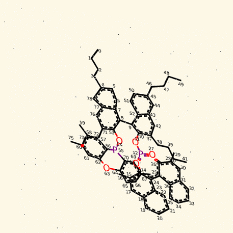 CCCCc1ccc2c(-c3c(Op4oc5c(C)cc6ccccc6c5c5c(o4)c(C)cc4ccccc45)c(CCCC)cc4cc(CCCC)ccc34)c(OP3c4cc(C)ccc4Oc4ccc(C)cc43)c(CCCC)cc2c1